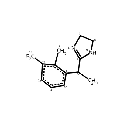 Cc1c(C(C)C2=NCCN2)cccc1C(F)(F)F